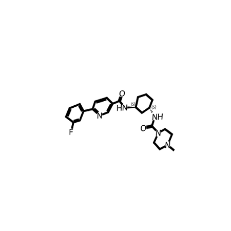 CN1CCN(C(=O)N[C@H]2CCC[C@H](NC(=O)c3ccc(-c4cccc(F)c4)nc3)C2)CC1